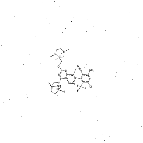 C[C@H]1CCN(C)C[C@@]1(C)COc1nc(N2C[C@H]3CC[C@@H](C2)N3)c2cc(F)c(-c3c(C#N)c(N)cc(Cl)c3C(F)(F)F)c(F)c2n1